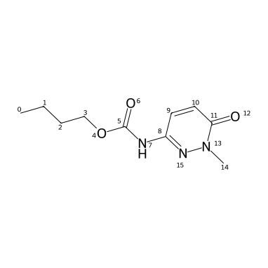 CCCCOC(=O)Nc1ccc(=O)n(C)n1